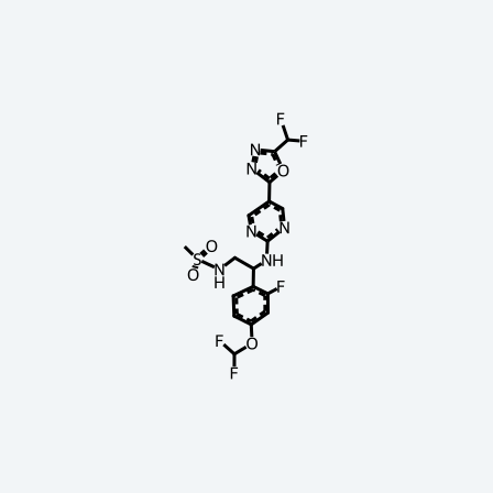 CS(=O)(=O)NCC(Nc1ncc(-c2nnc(C(F)F)o2)cn1)c1ccc(OC(F)F)cc1F